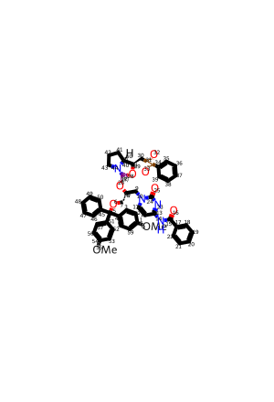 COc1ccc(C(OC[C@@H](Cn2ccc(NC(=O)c3ccccc3)nc2=O)O[P@@]2O[C@H](CS(=O)(=O)c3ccccc3)[C@@H]3CCCN32)(c2ccccc2)c2ccc(OC)cc2)cc1